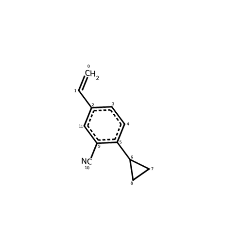 C=Cc1ccc(C2CC2)c(C#N)c1